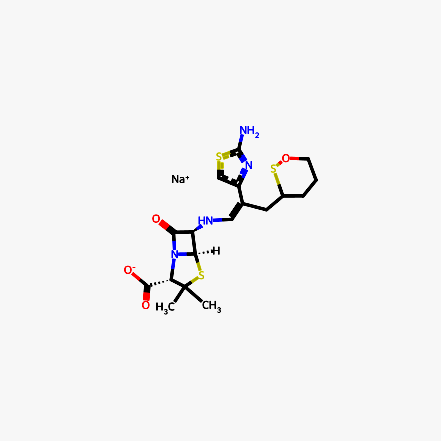 CC1(C)S[C@@H]2[C@H](N/C=C(/CC3CCCOS3)c3csc(N)n3)C(=O)N2[C@H]1C(=O)[O-].[Na+]